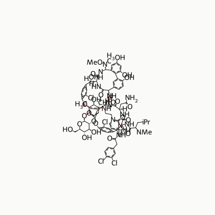 CN[C@H](CC(C)C)C(=O)N[C@H]1C(=O)N[C@@H](CC(N)=O)C(=O)N[C@H]2C(=O)N[C@H]3C(=O)N[C@H](C(=O)N[C@@H](N(C)OC)c4cc(O)cc(O)c4-c4cc3ccc4O)[C@H](O)c3ccc(c(Cl)c3)Oc3cc2cc(c3O[C@@H]2O[C@H](CO)[C@@H](O)[C@H](O)[C@H]2O[C@H]2C[C@](C)(NCCn3ccc(NC(=O)Cc4ccc(Cl)c(Cl)c4)nc3=O)[C@H](O)[C@H](C)O2)Oc2ccc(cc2Cl)[C@H]1O